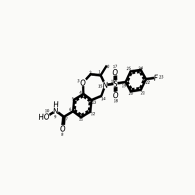 CC1COc2cc(C(=O)NO)ccc2CN1S(=O)(=O)c1ccc(F)cc1